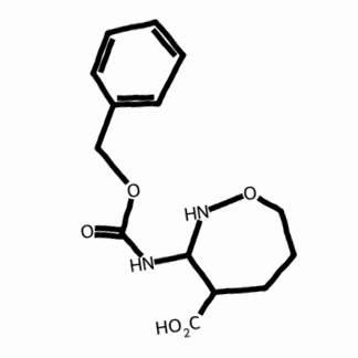 O=C(NC1NOCCCC1C(=O)O)OCc1ccccc1